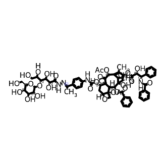 CC(=O)O[C@H]1C(=O)[C@]2(C)C(OC(=O)Nc3ccc(/C(C)=N/NC(=O)[C@H](O)C(O)[C@H](OC4O[C@H](CO)[C@H](O)C(O)[C@H]4O)C(O)CO)cc3)C[C@H]3OC[C@@]3(OC(C)=O)[C@H]2[C@H](OC(=O)c2ccccc2)C2(O)C[C@H](OC(=O)[C@H](O)[C@@H](NC(=O)c3ccccc3)c3ccccc3)C(C)=C1C2(C)C